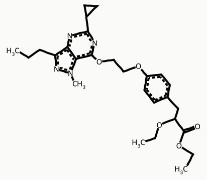 CCCc1nn(C)c2c(OCCOc3ccc(CC(OCC)C(=O)OCC)cc3)nc(C3CC3)nc12